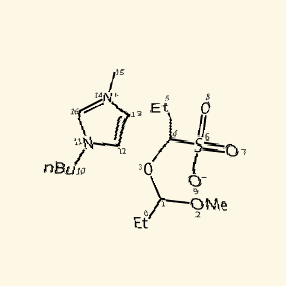 CCC(OC)OC(CC)S(=O)(=O)[O-].CCCCn1cc[n+](C)c1